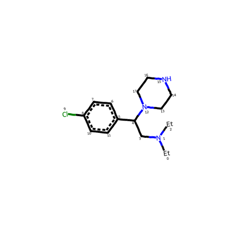 CCN(CC)CC(c1ccc(Cl)cc1)N1CCNCC1